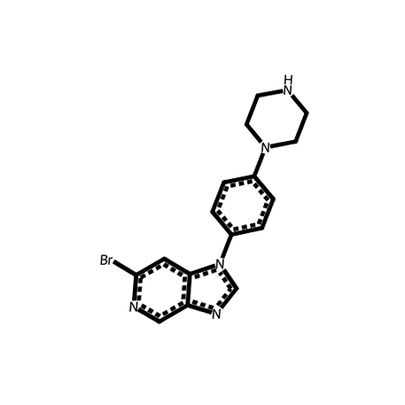 Brc1cc2c(cn1)ncn2-c1ccc(N2CCNCC2)cc1